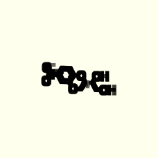 O=[N+]([O-])c1ccc2c(c1)OC[C@@H](C(O)CO)O2